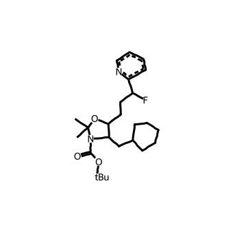 CC(C)(C)OC(=O)N1C(CC2CCCCC2)C(CCC(F)c2ccccn2)OC1(C)C